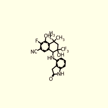 CC1(C)CC(O)(C(F)(F)F)C(Nc2cccc3c2CC(=O)N3)c2cc(C#N)c(F)c(O)c21